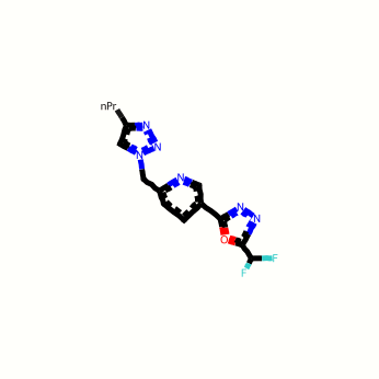 CCCc1cn(Cc2ccc(-c3nnc(C(F)F)o3)cn2)nn1